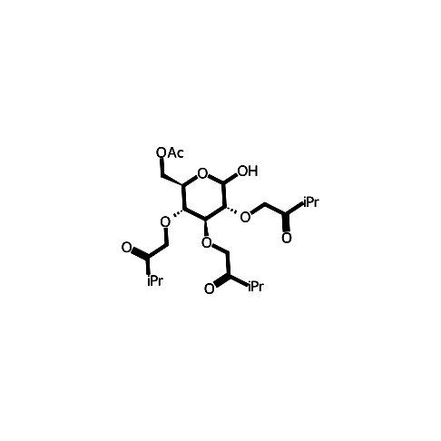 CC(=O)OC[C@H]1OC(O)[C@H](OCC(=O)C(C)C)[C@@H](OCC(=O)C(C)C)[C@@H]1OCC(=O)C(C)C